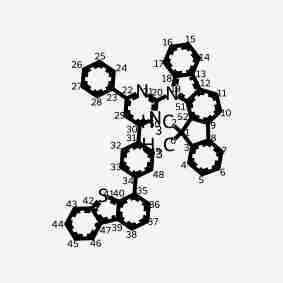 CC1(C)c2ccccc2-c2ccc3c4ccccc4n(-c4nc(-c5ccccc5)cc(-c5ccc(-c6cccc7c6sc6ccccc67)cc5)n4)c3c21